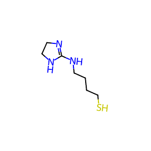 SCCCCNC1=NCCN1